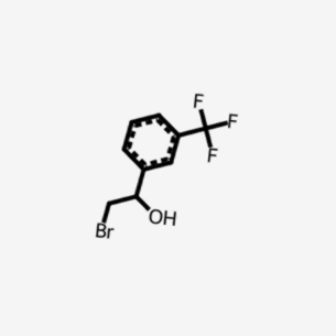 OC(CBr)c1cccc(C(F)(F)F)c1